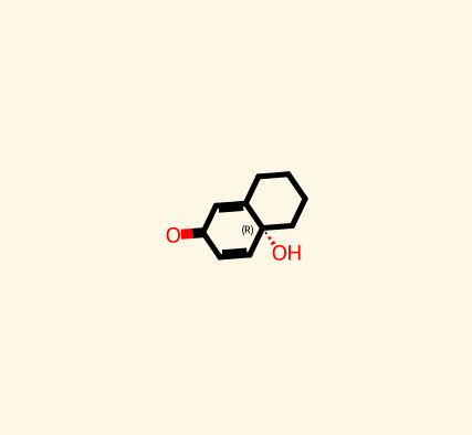 O=C1C=C[C@]2(O)CCCCC2=C1